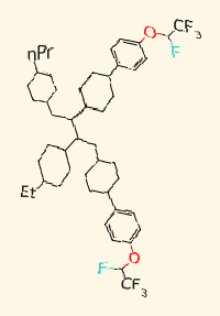 CCCC1CCC(CC(C2CCC(c3ccc(OC(F)C(F)(F)F)cc3)CC2)C(CC2CCC(c3ccc(OC(F)C(F)(F)F)cc3)CC2)C2CCC(CC)CC2)CC1